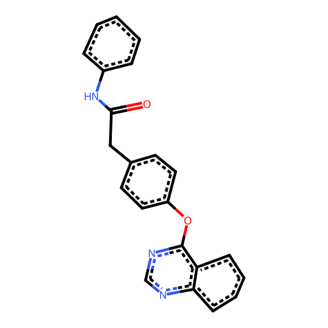 O=C(Cc1ccc(Oc2ncnc3ccccc23)cc1)Nc1ccccc1